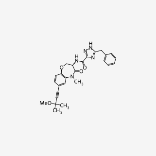 COC(C)(C)C#Cc1ccc2c(c1)N(C)C(=O)[C@H](NC(=O)c1n[nH]c(Cc3ccccc3)n1)CO2